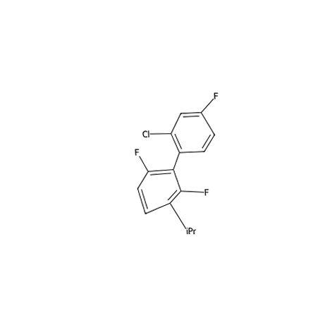 CC(C)c1ccc(F)c(-c2ccc(F)cc2Cl)c1F